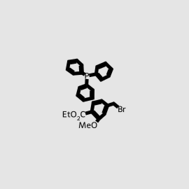 CCOC(=O)c1ccc(CBr)cc1OC.c1ccc(P(c2ccccc2)c2ccccc2)cc1